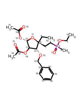 CCOP(C)(=O)CC[C@]1(CC)O[C@@H](OC(C)=O)C(OC(C)=O)[C@H]1OCc1ccccc1